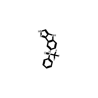 O=[SH](c1ccccc1)(c1ccc2[nH]c3c[nH]nc3c2c1)C(F)(F)F